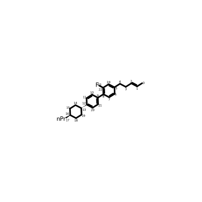 C/C=C/CCc1ccc(-c2ccc([C@H]3CC[C@H](CCC)CC3)cc2)c(F)c1